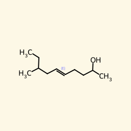 CCC(C)C/C=C/CCC(C)O